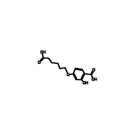 O=C(O)CCCCCOc1ccc(C(=O)O)c(O)c1